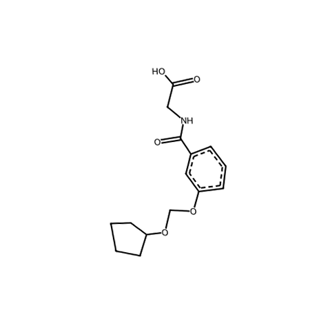 O=C(O)CNC(=O)c1cccc(OCOC2CCCC2)c1